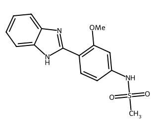 COc1cc(NS(C)(=O)=O)ccc1-c1nc2ccccc2[nH]1